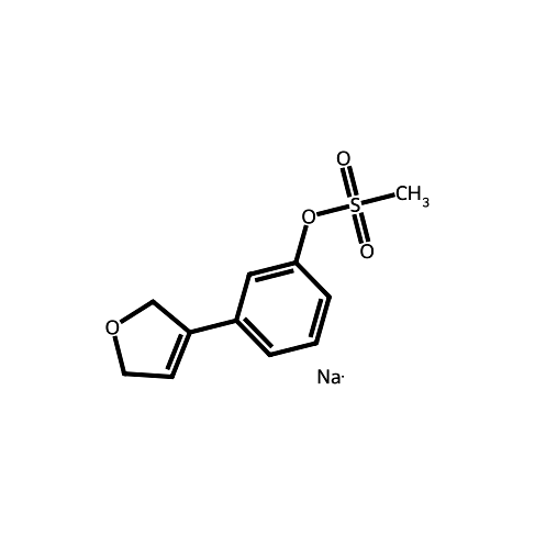 CS(=O)(=O)Oc1cccc(C2=CCOC2)c1.[Na]